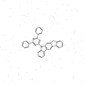 c1ccc(-c2nc(-c3ccccc3)nc(-n3c4ccccc4c4cc5c(cc43)Cc3ccccc3-5)n2)cc1